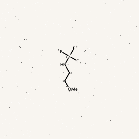 COCCNS(F)(F)F